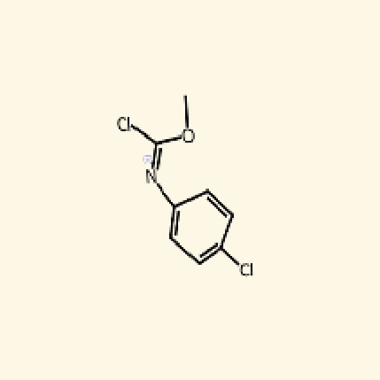 CO/C(Cl)=N\c1ccc(Cl)cc1